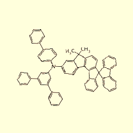 CC1(C)c2cc(N(c3ccc(-c4ccccc4)cc3)c3cc(-c4ccccc4)cc(-c4ccccc4)c3)ccc2-c2c1ccc1c2-c2ccccc2C12c1ccccc1-c1ccccc12